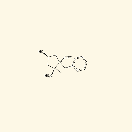 C[C@]1(C(=O)O)C[C@@H](O)C[N+]1(Cc1ccccc1)C(=O)[O-]